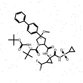 CO[C@@]1(c2ccc(-c3ccccc3)cc2)CC(C(=O)N[C@@]2(C(=O)NS(=O)(=O)C3CC3)CC2C(F)F)N(C(=O)[C@@H](NC(=O)OC(C)(C)C)C(C)(C)C)C1